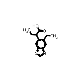 CCc1cc2ncsc2cc1C(CC)C(=O)O